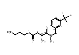 CCCCOC(=O)C[C@@H](N)C(=O)N(C)Cc1cccc(C(F)(F)F)c1